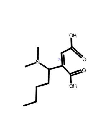 CCCCC(/C(=C/C(=O)O)C(=O)O)N(C)C